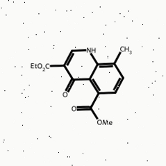 CCOC(=O)c1c[nH]c2c(C)ccc(C(=O)OC)c2c1=O